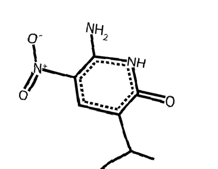 CC(C)c1cc([N+](=O)[O-])c(N)[nH]c1=O